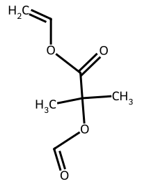 C=COC(=O)C(C)(C)OC=O